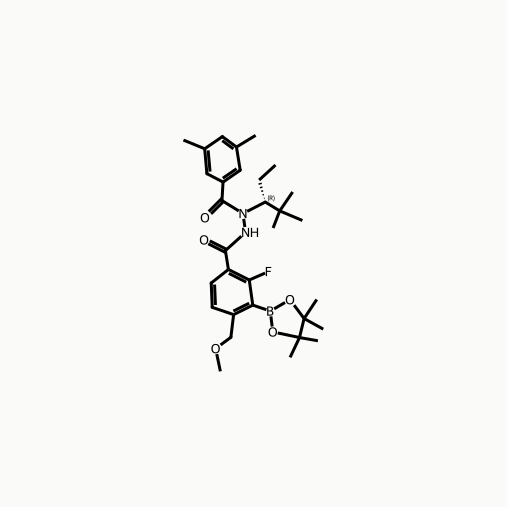 CC[C@@H](N(NC(=O)c1ccc(COC)c(B2OC(C)(C)C(C)(C)O2)c1F)C(=O)c1cc(C)cc(C)c1)C(C)(C)C